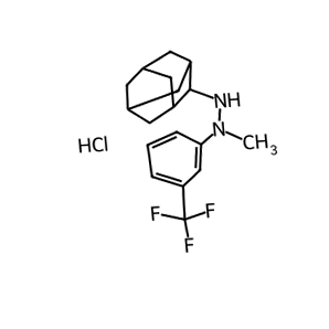 CN(NC1C2CC3CC(C2)CC1C3)c1cccc(C(F)(F)F)c1.Cl